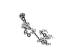 Cc1ncsc1-c1ccc([C@H](C)NC(=O)[C@@H]2C[C@@H](O)CN2C(=O)C(NC(=O)CCCCCCNC(=O)CO[C@H]2C[C@@H](C(=O)N3CCOC(c4ccccc4)C3)N(C(=O)C(NC(=O)c3cc4cc(C(F)(F)P(=O)(O)O)ccc4s3)C(C)(C)C)C2)C(C)(C)C)cc1